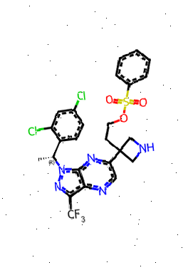 C[C@H](c1ccc(Cl)cc1Cl)n1nc(C(F)(F)F)c2ncc(C3(CCOS(=O)(=O)c4ccccc4)CNC3)nc21